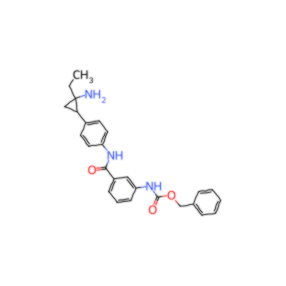 CCC1(N)CC1c1ccc(NC(=O)c2cccc(NC(=O)OCc3ccccc3)c2)cc1